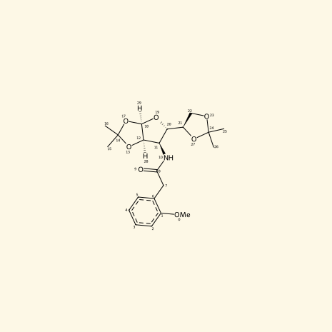 COc1ccccc1CC(=O)N[C@H]1[C@H]2OC(C)(C)O[C@H]2O[C@@H]1[C@H]1COC(C)(C)O1